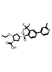 CCO[C@@H]1C[C@H](S(=O)(=O)c2ccc(-c3ccnc(C)c3)cc2C(F)(F)F)C[C@H]1C(=O)O